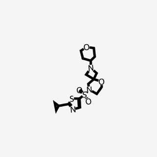 O=S(=O)(c1cnc(C2CC2)s1)N1CCOC2(CN(C3CCOCC3)C2)C1